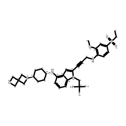 CCS(=O)(=O)c1ccc(NCC#Cc2cc3c(N[C@H]4CC[C@H](N5CC6(COC6)C5)CC4)cccc3n2CC(F)(F)F)c(OC)c1